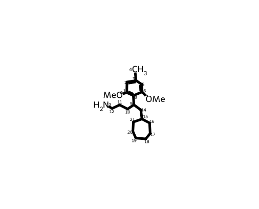 COc1cc(C)cc(OC)c1C(CCCN)CC1CCCCCC1